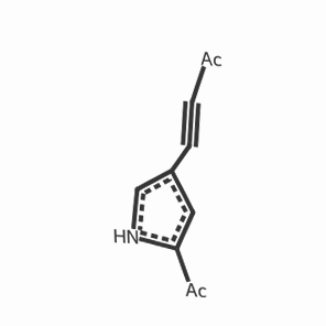 CC(=O)C#Cc1c[nH]c(C(C)=O)c1